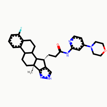 C[C@]12CCC3c4cccc(F)c4CCC3C1[C@H](CCC(=O)Nc1cc(N3CCOCC3)ccn1)c1c[nH]nc12